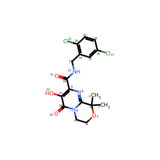 CC1(C)OCCn2c1nc(C(=O)NCc1cc(Cl)ccc1Cl)c(O)c2=O